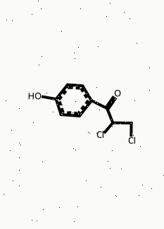 O=C(c1ccc(O)cc1)C(Cl)CCl